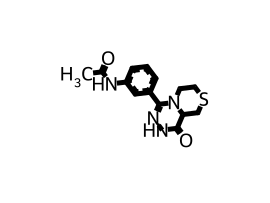 CC(=O)Nc1cccc(C2=NNC(=O)C3CSCCN23)c1